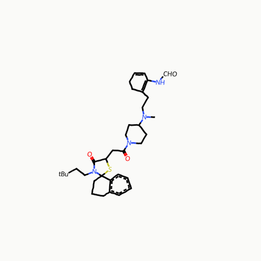 CN(CCC1=C(NC=O)C=CCC1)C1CCN(C(=O)CC2SC3(CCCc4ccccc43)N(CCC(C)(C)C)C2=O)CC1